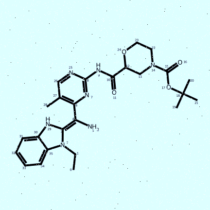 CCN1/C(=C(\N)c2nc(NC(=O)C3CN(C(=O)OC(C)(C)C)CCO3)ncc2C)Nc2ccccc21